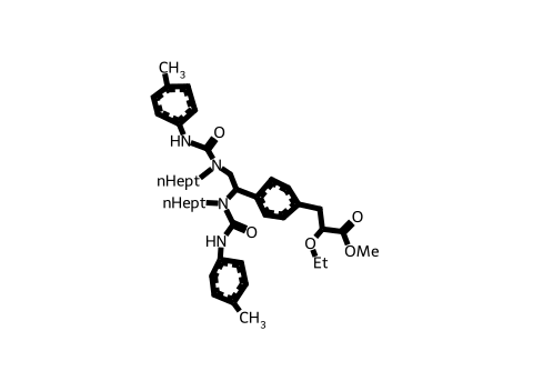 CCCCCCCN(CC(c1ccc(CC(OCC)C(=O)OC)cc1)N(CCCCCCC)C(=O)Nc1ccc(C)cc1)C(=O)Nc1ccc(C)cc1